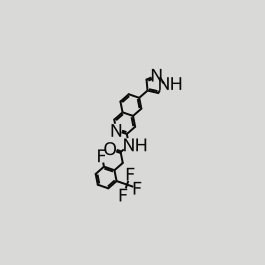 O=C(Cc1c(F)cccc1C(F)(F)F)Nc1cc2cc(-c3cn[nH]c3)ccc2cn1